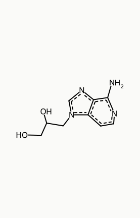 Nc1nccc2c1ncn2CC(O)CO